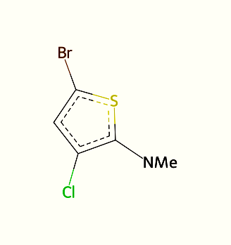 CNc1sc(Br)cc1Cl